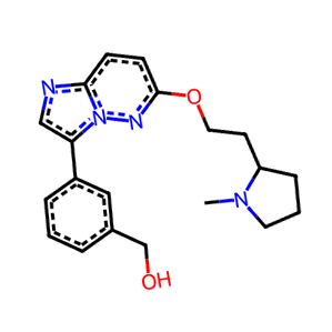 CN1CCCC1CCOc1ccc2ncc(-c3cccc(CO)c3)n2n1